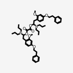 CCCN(CCC)C(Cc1ccc(OCCc2ccccc2)cc1OC)OC(=O)C(=O)OC(Cc1ccc(OCCc2ccccc2)cc1OC)N(CCC)CCC